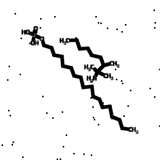 CCCCCCC(C)C(C)(C)N.CCCCCCCCCCCCCCCCCCOP(=O)(O)O